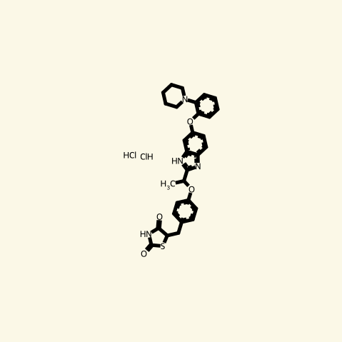 CC(Oc1ccc(CC2SC(=O)NC2=O)cc1)c1nc2ccc(Oc3ccccc3N3CCCCC3)cc2[nH]1.Cl.Cl